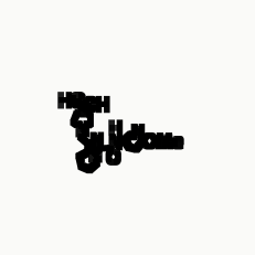 COc1ccc(NC(=O)c2nc(CN3CCS(O)(O)CC3)c3ccccn23)cn1